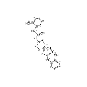 C[N+]1(CC(=O)Nc2ccccc2O)CCN(CC(=O)Nc2ccccc2O)CC1